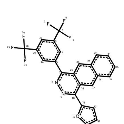 FC(F)(F)c1cc(-c2nnc(-c3ccco3)c3cc4ccccc4cc23)cc(C(F)(F)F)c1